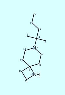 CCCC(C)(C)N1CCC2(CCN2)CC1